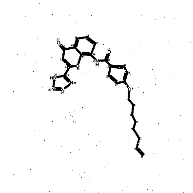 C=CCCCCCCOc1ccc(C(=O)Nc2cccc3c(=O)cc(-c4nnn[nH]4)oc23)cc1